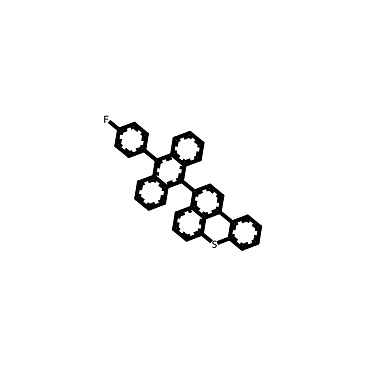 Fc1ccc(-c2c3ccccc3c(-c3ccc4c5c(cccc35)Sc3ccccc3-4)c3ccccc23)cc1